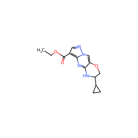 CCOC(=O)c1cnn2cc3c(nc12)NC(C1CC1)CO3